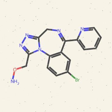 NOCc1nnc2n1-c1ccc(Br)cc1C(c1ccccn1)=NC2